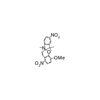 COc1ccc([N+](=O)[O-])c2c1OC1(C=C2)N(C)c2ccc([N+](=O)[O-])cc2C1(C)C